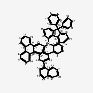 C1=C(c2ccccc2N(c2ccc3c4ccccc4c4ccccc4c3c2)c2cccc3c2-c2ccccc2C3(c2ccccc2)c2ccccc2)C=C(c2cccc3ccccc23)CC1